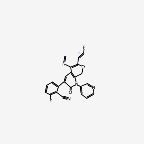 C=NC1=C(/C=C/F)OCc2c1cc(-c1cccc(F)c1C#N)c(=O)n2-c1cccnc1